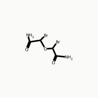 NC(=O)C(Br)OC(Br)C(N)=O